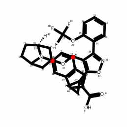 O=C(O)c1cc2ccc(N3C4CC[C@H]3CC(OCc3c(-c5ccccc5OC(F)(F)F)noc3C3CC3)C4)cc2o1